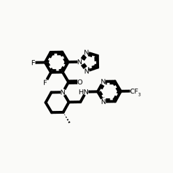 C[C@@H]1CCCN(C(=O)c2c(-n3nccn3)ccc(F)c2F)C1CNc1ncc(C(F)(F)F)cn1